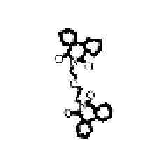 O=c1c2ccccc2c2ccccc2c(=O)n1CCOCCn1c(=O)c2ccccc2c2ccccc2c1=O